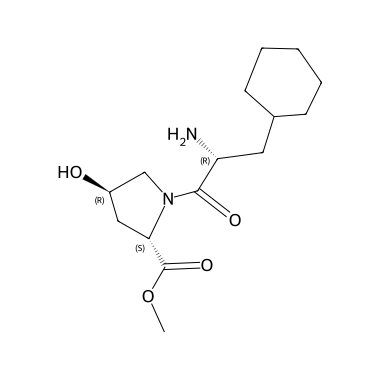 COC(=O)[C@@H]1C[C@@H](O)CN1C(=O)[C@H](N)CC1CCCCC1